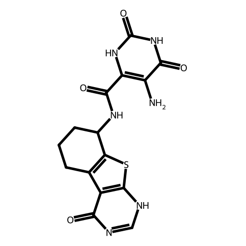 Nc1c(C(=O)NC2CCCc3c2sc2[nH]cnc(=O)c32)[nH]c(=O)[nH]c1=O